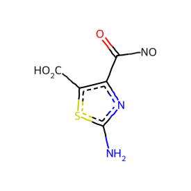 Nc1nc(C(=O)N=O)c(C(=O)O)s1